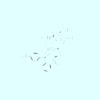 C=CC[C@@](C)(C(N)=O)[C@@H](CC(C)C)C(=O)N[C@H]1N=C(c2ccc(Cl)cc2)c2ccccc2N(C)C1=O